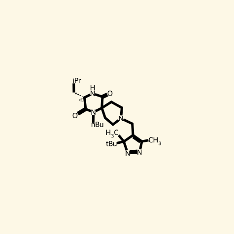 CCCCN1C(=O)[C@H](CC(C)C)NC(=O)C12CCN(CC1=C(C)N=NC1(C)C(C)(C)C)CC2